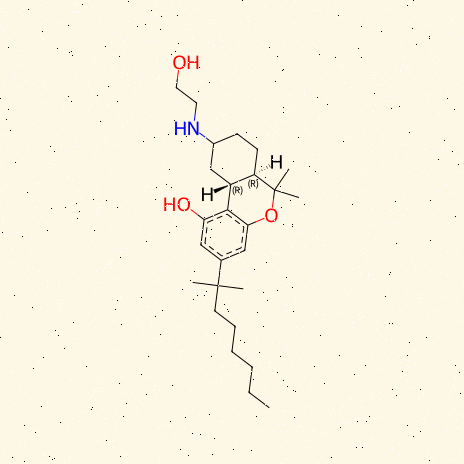 CCCCCCC(C)(C)c1cc(O)c2c(c1)OC(C)(C)[C@@H]1CCC(NCCO)C[C@@H]21